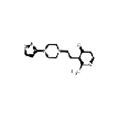 CC1=C(CCN2CCN(c3ccon3)CC2)C(=O)CC=N1